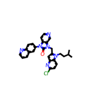 CC(C)CCn1c(Cn2c(=O)n(-c3ccc4ncccc4c3)c3ccncc32)cc2nc(Cl)ccc21